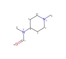 CN1CCC(N(C)C=O)CC1